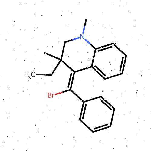 CN1CC(C)(CC(F)(F)F)/C(=C(\Br)c2ccccc2)c2ccccc21